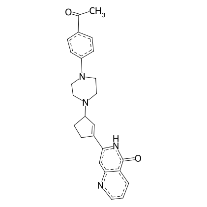 CC(=O)c1ccc(N2CCN(C3C=C(c4cc5ncccc5c(=O)[nH]4)CC3)CC2)cc1